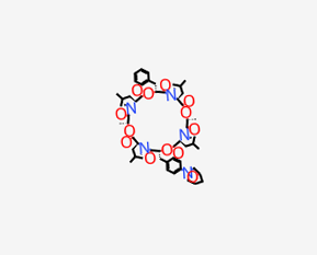 CC(C)C[C@H]1C(=O)O[C@H](Cc2ccc(N3CC4CC(C3)O4)cc2)C(=O)N(C)[C@@H](CC(C)C)C(=O)O[C@H](C)C(=O)N(C)[C@@H](CC(C)C)C(=O)O[C@H](Cc2ccccc2)C(=O)N(C)[C@@H](CC(C)C)C(=O)O[C@H](C)C(=O)N1C